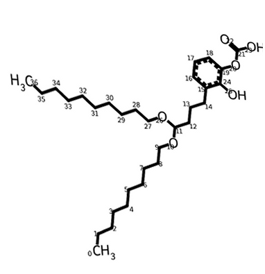 CCCCCCCCCCOC(CCCc1cccc(OC(=O)O)c1O)OCCCCCCCCCC